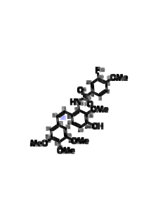 COc1ccc(S(=O)(=O)Nc2c(/C=C\c3cc(OC)c(OC)c(OC)c3)ccc(O)c2OC)cc1F